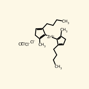 CCCCC1=CCC(C)=[C]1[Zr+4][C]1=C(C)CC=C1CCCC.[Cl-].[Cl-].[Cl-].[Cl-]